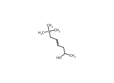 CC(O)CC=CC[Si](C)(C)C